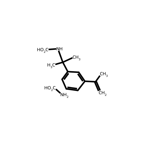 C=C(C)c1cccc(C(C)(C)NC(=O)O)c1.NC(=O)O